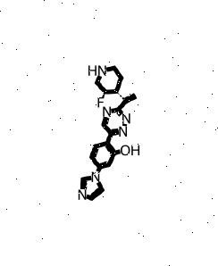 C=C(c1ncc(-c2ccc(-n3ccnc3)cc2O)nn1)[C@H]1CCNC[C@H]1F